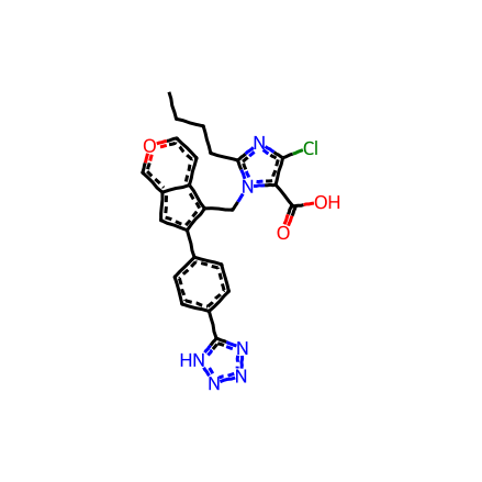 CCCCc1nc(Cl)c(C(=O)O)n1Cc1c2ccocc-2cc1-c1ccc(-c2nnn[nH]2)cc1